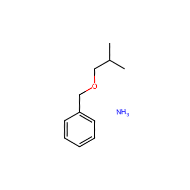 CC(C)COCc1ccccc1.N